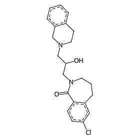 O=C1c2ccc(Cl)cc2CCCN1CC(O)CN1CCc2ccccc2C1